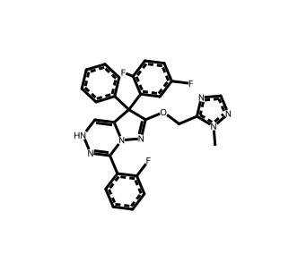 Cn1ncnc1COC1=NN2C(=CNN=C2c2ccccc2F)C1(c1ccccc1)c1cc(F)ccc1F